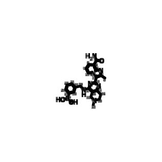 Cc1nc2c(C(N)=O)cccn2c1-c1nc2c(c(NCc3cccc(B(O)O)c3)n1)CN(C)CC2